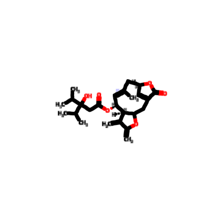 C=C1OC2CC3=C[C@@H](C/C(C)=C/[C@@H](OC(=O)CC(O)(C(C)C)C(C)C)[C@@H]2C1=C)OC3=O